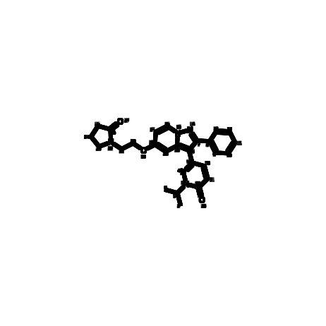 CC(C)n1nc(-c2c(-c3ccccc3)nn3ccc(OCCN4CCCC4=O)cc23)ccc1=O